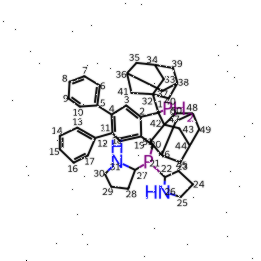 PC(c1cc(-c2ccccc2)c(-c2ccccc2)cc1CP(C1CCCN1)C1CCCN1)(C12CC3CC(CC(C3)C1)C2)C12CC3CC(CC(C3)C1)C2